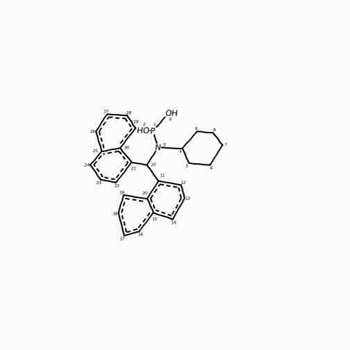 OP(O)N(C1CCCCC1)C(c1cccc2ccccc12)c1cccc2ccccc12